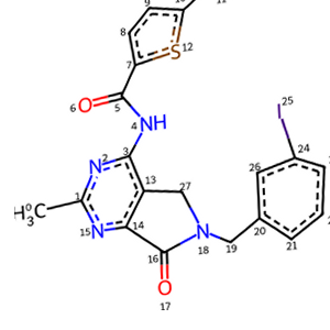 Cc1nc(NC(=O)c2ccc(C)s2)c2c(n1)C(=O)N(Cc1cccc(I)c1)C2